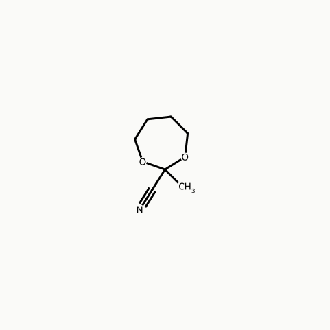 CC1(C#N)OCCCCO1